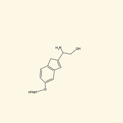 CCCCCCCOc1ccc2c(c1)C=C(C(N)CO)C2